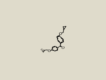 O=C(c1ccc(OCC2CC2)cc1)c1ccc(OCC2CO2)cc1